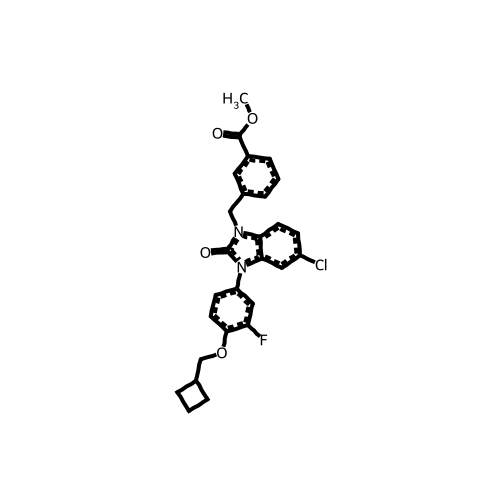 COC(=O)c1cccc(Cn2c(=O)n(-c3ccc(OCC4CCC4)c(F)c3)c3cc(Cl)ccc32)c1